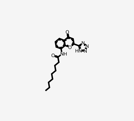 CCCCCCCCC(=O)Nc1cccc2c(=O)cc(-c3nnn[nH]3)oc12